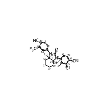 Cc1c(N2C(=O)N(c3ccc(C#N)c(C(F)(F)F)c3)[C@H]3CCCC[C@@H]32)ccc(C#N)c1Cl